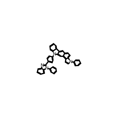 c1ccc(-n2ccc3c4cc5c(cc4ccc32)c2ccccc2n5-c2ccc(-c3nc4ccccc4n3-c3ccccc3)cc2)cc1